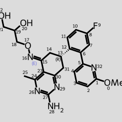 COc1cccc(-c2cc(F)ccc2[C@H]2C/C(=N\OCC(O)CO)c3c(C)nc(N)nc3C2)n1